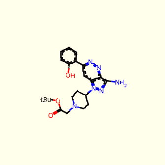 CC(C)(C)OC(=O)CN1CCC(n2nc(N)c3nnc(-c4ccccc4O)cc32)CC1